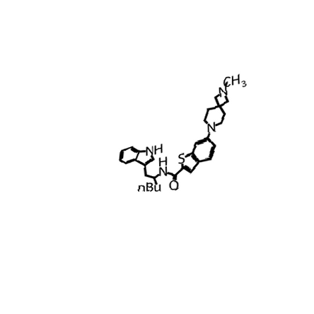 CCCCC(Cc1c[nH]c2ccccc12)NC(=O)c1cc2ccc(N3CCC4(CC3)CN(C)C4)cc2s1